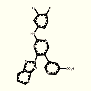 O=C(O)c1cncc(-c2cnc(Nc3ccc(F)c(Cl)c3)nc2-n2nc3cccnc3n2)c1